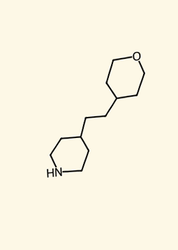 C1CC(CCC2CCOCC2)CCN1